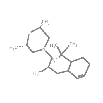 CC(CC1C=CCCC1C(C)(C)C)CN1C[C@@H](C)O[C@@H](C)C1